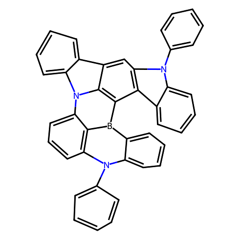 c1ccc(N2c3ccccc3B3c4c2cccc4-n2c4ccccc4c4cc5c(c3c42)c2ccccc2n5-c2ccccc2)cc1